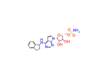 NS(=O)(=O)OC[C@H]1O[C@@H](n2ccc3c(N[C@H]4CCc5ccccc54)ncnc32)C(O)[C@@H]1O